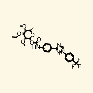 CCO[C@@H]1[C@@H](OC)[C@H](C)O[C@@H](OC(=O)Nc2ccc(-c3ncn(-c4ccc(C(F)(F)F)cc4)n3)cc2)[C@@H]1OC